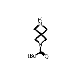 CC(C)(C)C(=O)N1CC2(CNC2)C1